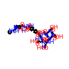 O=C(O)CC[C@H](NC(=O)CN1CCN(CC(=O)O)CCN(CC(=O)O)CCN(CC(=O)O)CC1)C(=O)N[C@@H](CCC(=O)O)C(=O)NCCNS(=O)(=O)c1ccc(-c2ccc(S(=O)(=O)N[C@@H](CNC(=O)c3ccc4c(cnn4CCNC4=NCCCC4)c3)C(=O)O)cc2)cc1